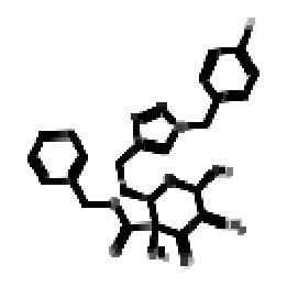 C=C1C(=O)[C@](C)(C(=O)OCc2ccccc2)[C@@H](CCc2cn(Cc3ccc(Cl)cc3)nn2)O[C@H]1C(C)(C)C